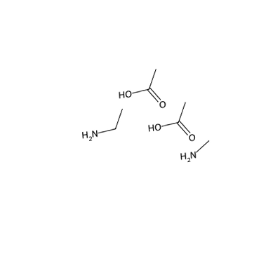 CC(=O)O.CC(=O)O.CCN.CN